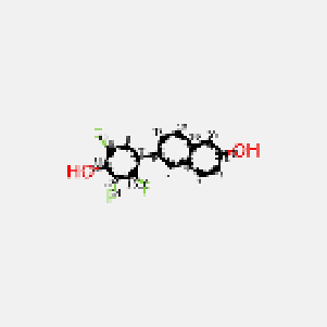 Oc1ccc2cc(-c3cc(F)c(O)c(F)c3F)ccc2c1